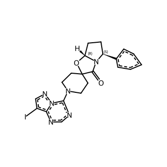 O=C1N2[C@@H](CC[C@H]2c2ccccc2)OC12CCN(c1ncnc3c(I)cnn13)CC2